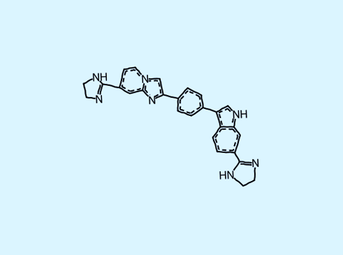 c1cc2c(-c3ccc(-c4cn5ccc(C6=NCCN6)cc5n4)cc3)c[nH]c2cc1C1=NCCN1